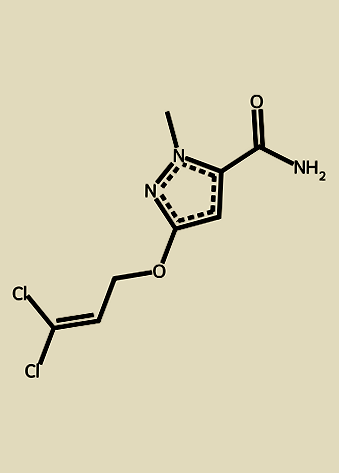 Cn1nc(OCC=C(Cl)Cl)cc1C(N)=O